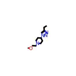 CCc1cn(C2CCN(CCOC)CC2)nn1